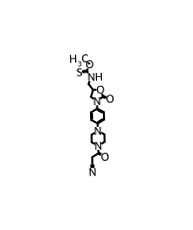 COC(=S)NCC1CN(c2ccc(N3CCN(C(=O)CC#N)CC3)cc2)C(=O)O1